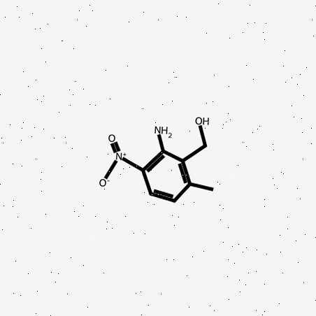 Cc1ccc([N+](=O)[O-])c(N)c1CO